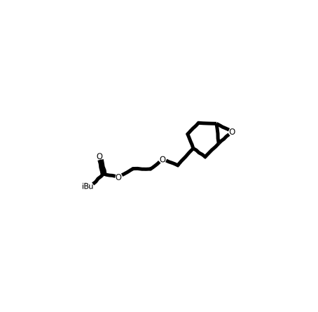 CCC(C)C(=O)OCCOCC1CCC2OC2C1